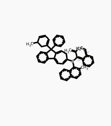 C=C(C)/C(B(C1=CC=C2C(=CC1)C(C1=CC=CC(C)C1)(c1ccccc1)c1ccccc12)c1c(C)ccc2ccccc12)=c1/cccc/c1=C/C